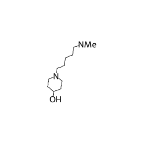 CNCCCCCN1CCC(O)CC1